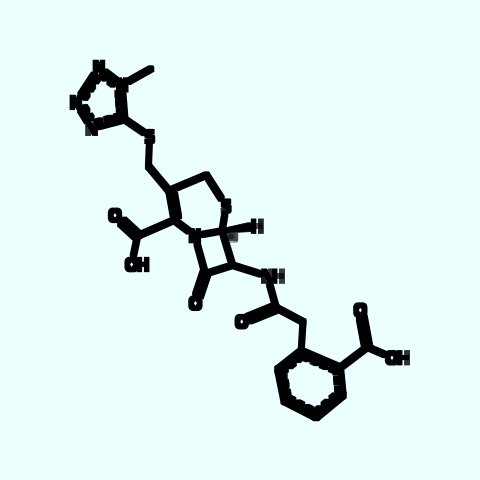 Cn1nnnc1SCC1=C(C(=O)O)N2C(=O)C(NC(=O)Cc3ccccc3C(=O)O)[C@H]2SC1